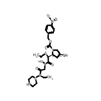 CCSC(C(=O)N(O)CC(=O)N(CC)N1CCNCC1)[C@@H]1C[C@H](S)CN1C(=O)OCc1ccc([N+](=O)[O-])cc1